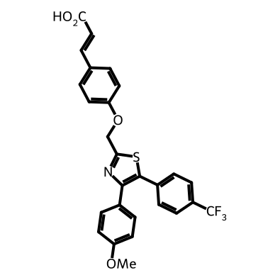 COc1ccc(-c2nc(COc3ccc(/C=C/C(=O)O)cc3)sc2-c2ccc(C(F)(F)F)cc2)cc1